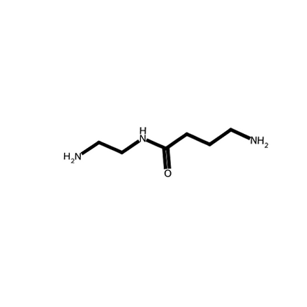 NCCCC(=O)NCCN